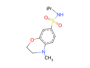 CC(C)NS(=O)(=O)c1ccc2c(c1)OCCN2C